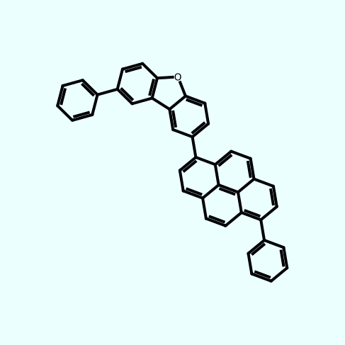 c1ccc(-c2ccc3oc4ccc(-c5ccc6ccc7c(-c8ccccc8)ccc8ccc5c6c87)cc4c3c2)cc1